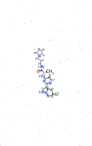 C[C@H](Nc1nc(-c2c[nH]c3ncc(Cl)cc23)ncc1F)C(=O)NCCCN1CCCC1